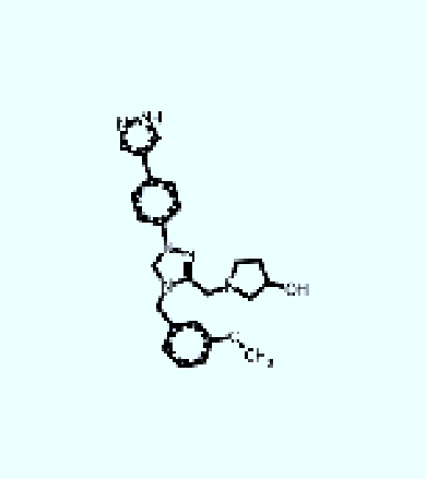 COc1cccc(CN2CN(c3ccc(-c4cn[nH]c4)cc3)N=C2CN2CCC(O)C2)c1